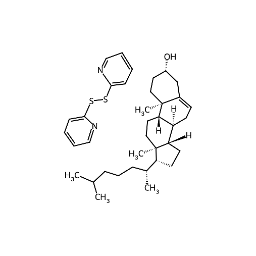 CC(C)CCC[C@@H](C)[C@H]1CC[C@H]2[C@@H]3CC=C4C[C@@H](O)CC[C@]4(C)[C@H]3CC[C@]12C.c1ccc(SSc2ccccn2)nc1